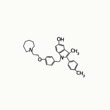 Cc1ccc(-c2c(C)c3cc(O)ccc3n2Cc2ccc(OCCN3CCCCCC3)cc2)cc1